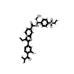 CCc1c(-c2ccc(C(=O)C(C)C)c(F)c2)nc2cc(C(=O)N[C@@H](CO)c3ccc(S(=O)(=O)CC)cc3)ccn12